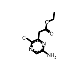 CCOC(=O)Cc1nc(N)cnc1Cl